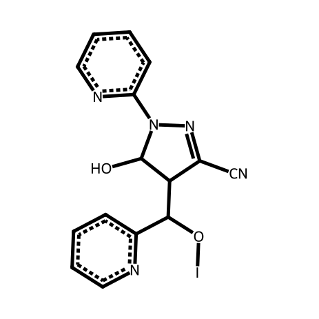 N#CC1=NN(c2ccccn2)C(O)C1C(OI)c1ccccn1